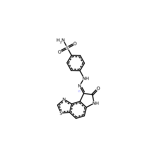 NS(=O)(=O)c1ccc(N/N=C2\C(=O)Nc3ccc4scnc4c32)cc1